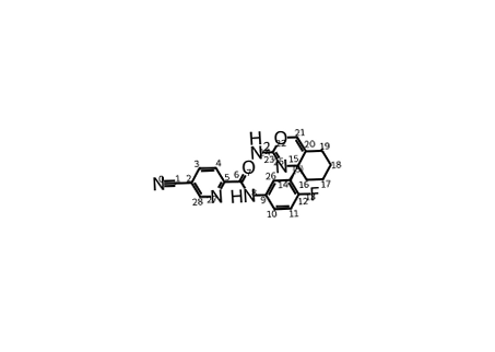 N#Cc1ccc(C(=O)Nc2ccc(F)c([C@]34CCCCC3=COC(N)=N4)c2)nc1